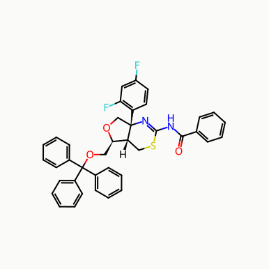 O=C(NC1=N[C@@]2(c3ccc(F)cc3F)CO[C@H](COC(c3ccccc3)(c3ccccc3)c3ccccc3)[C@H]2CS1)c1ccccc1